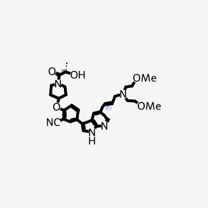 COCCN(C/C=C/c1cnc2[nH]cc(-c3ccc(OC4CCN(C(=O)[C@H](C)O)CC4)c(C#N)c3)c2c1)CCOC